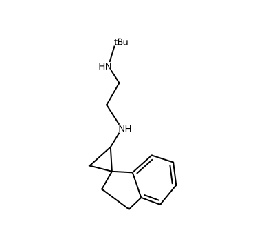 CC(C)(C)NCCNC1CC12CCc1ccccc12